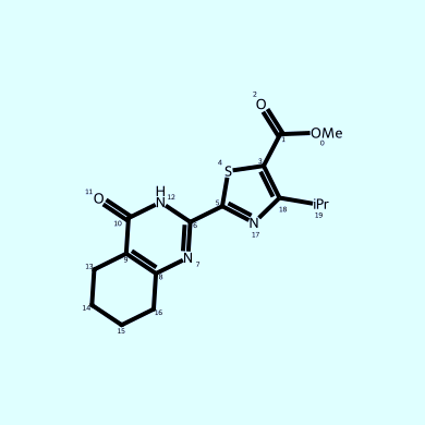 COC(=O)c1sc(-c2nc3c(c(=O)[nH]2)CCCC3)nc1C(C)C